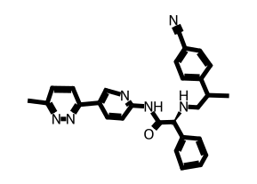 Cc1ccc(-c2ccc(NC(=O)[C@@H](NCC(C)c3ccc(C#N)cc3)c3ccccc3)nc2)nn1